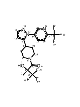 C[C@@](O)(C(=O)N1CCC(c2ccnn2-c2ccc(C(F)(F)F)nc2)CC1)C(F)(F)F